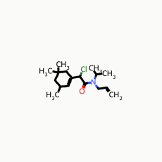 C=CCN(C(=O)C(Cl)C1=CC(C)CC(C)(C)C1)C(C)C